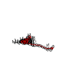 CC[C@@H](C)[C@H]([C@H](CC(=O)N1CCC[C@@H]1[C@@H](OC)[C@H](C)C(=O)N[C@@H](C)[C@H](O)c1ccccc1)OC)N(C)C(=O)[C@H](NC(=O)[C@@H](C(C)C)N(C)C(=O)OC(Cc1cn(CCOCCOCCOCCOCCOCCOCCOCCOCCOCCOCCNC(=O)CCCCCN2C(=O)C=CC2=O)nn1)c1ccc(O[C@@H]2OC(C(=O)O)[C@@H](O)C(O)[C@@H]2O)c([N+](=O)[O-])c1)C(C)C